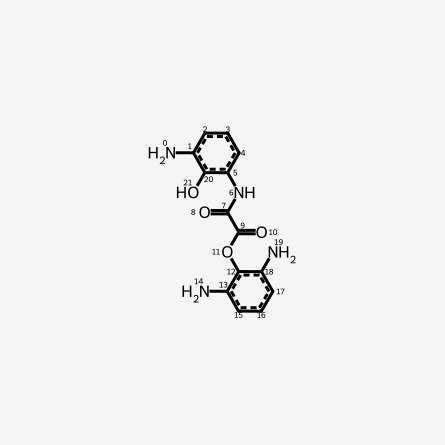 Nc1cccc(NC(=O)C(=O)Oc2c(N)cccc2N)c1O